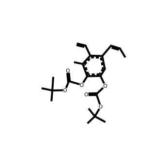 C=Cc1c(/C=C\C)cc(OC(=O)OC(C)(C)C)c(OC(=O)OC(C)(C)C)c1C